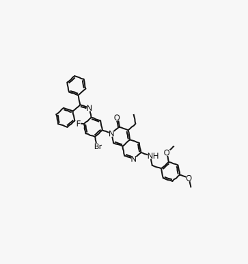 CCc1c(=O)n(-c2cc(N=C(c3ccccc3)c3ccccc3)c(F)cc2Br)cc2cnc(NCc3ccc(OC)cc3OC)cc12